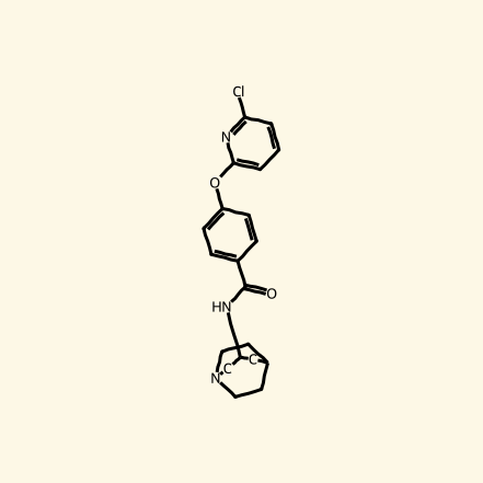 O=C(NC1CC2CCN(CC2)C1)c1ccc(Oc2cccc(Cl)n2)cc1